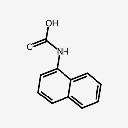 O=C(O)Nc1cccc2ccccc12